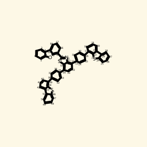 c1ccc2c(c1)oc1c(-c3nc4c(-c5ccc(-c6cccc7c6sc6ccccc67)cc5)ccc(-c5ccc(-c6cccc7c6sc6ccccc67)cc5)c4s3)cccc12